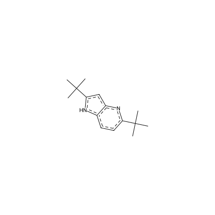 CC(C)(C)c1ccc2[nH]c(C(C)(C)C)cc2n1